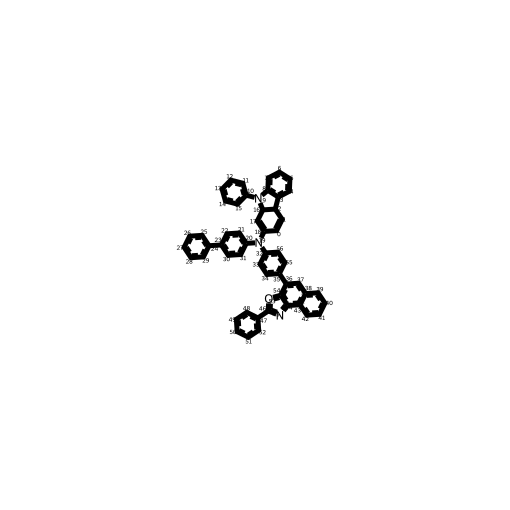 C1=CC2c3ccccc3N(c3ccccc3)C2C=C1N(c1ccc(-c2ccccc2)cc1)c1ccc(-c2cc3ccccc3c3nc(-c4ccccc4)oc23)cc1